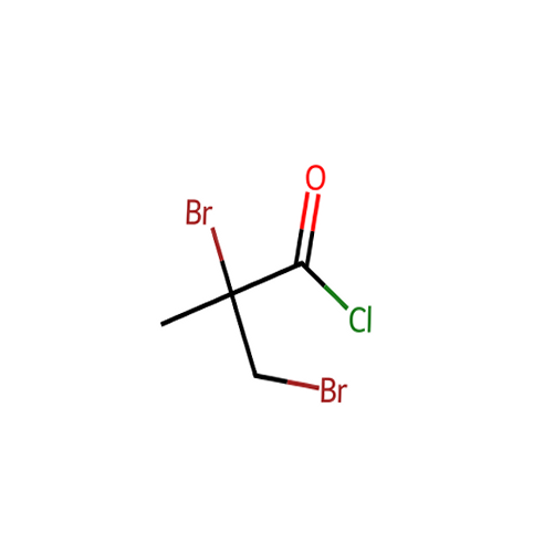 CC(Br)(CBr)C(=O)Cl